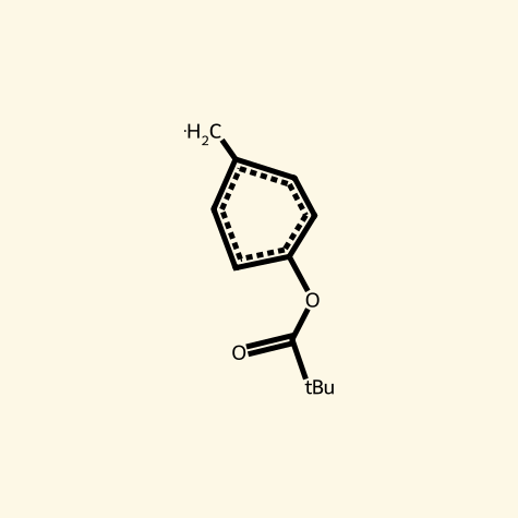 [CH2]c1ccc(OC(=O)C(C)(C)C)cc1